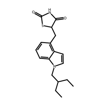 CCC(CC)Cn1ccc2c(CC3SC(=O)NC3=O)cccc21